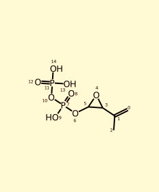 C=C(C)C1OC1OP(=O)(O)OP(=O)(O)O